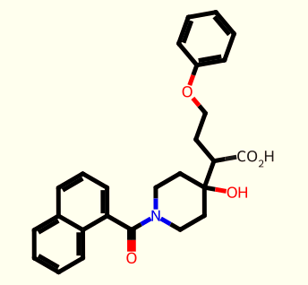 O=C(O)C(CCOc1ccccc1)C1(O)CCN(C(=O)c2cccc3ccccc23)CC1